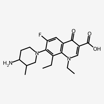 CCc1c(N2CCC(N)C(C)C2)c(F)cc2c(=O)c(C(=O)O)cn(CC)c12